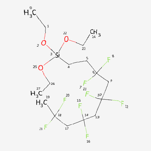 CCO[Si](CCC(F)(F)CC(F)(F)CC(F)(F)CC(C)(F)F)(OCC)OCC